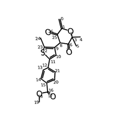 C=C1OC(C)(C)C(=O)C(c2cc(-c3ccc(C(=O)OC)cc3)sc2C)C1=O